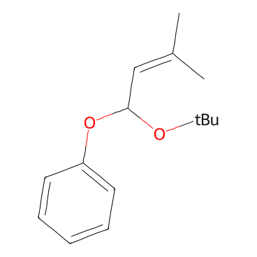 CC(C)=CC(Oc1ccccc1)OC(C)(C)C